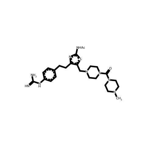 CC(=O)Nc1nc(CCc2ccc(NC(=N)N)cc2)c(CN2CCN(C(=O)N3CCN(C)CC3)CC2)s1